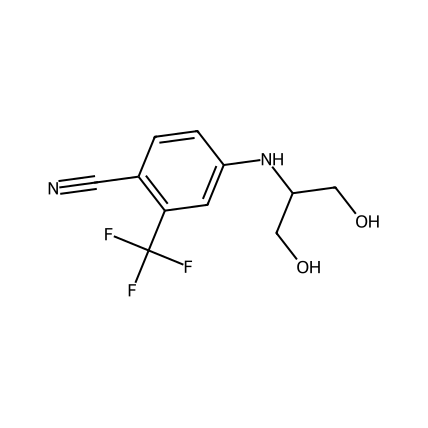 N#Cc1ccc(NC(CO)CO)cc1C(F)(F)F